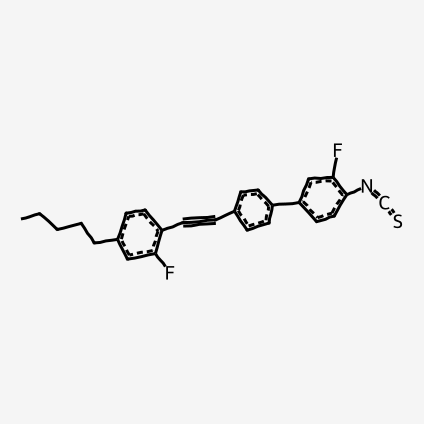 CCCCCc1ccc(C#Cc2ccc(-c3ccc(N=C=S)c(F)c3)cc2)c(F)c1